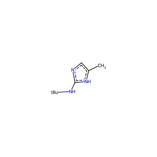 Cc1cnc(NC(C)(C)C)[nH]1